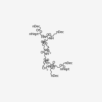 C=CCOP(=O)(OCCNC(=O)NCCOP(=O)(OCC=C)OC[C@H](NC(=O)CCCCCCCCCCCCC)C(=O)NCC[C@@H](CCCCCCC)OC(=O)CCCCCCCCCCC)OC[C@H](NC(=O)CCCCCCCCCCCCC)C(=O)NCC[C@@H](CCCCCCC)OC(=O)CCCCCCCCCCC